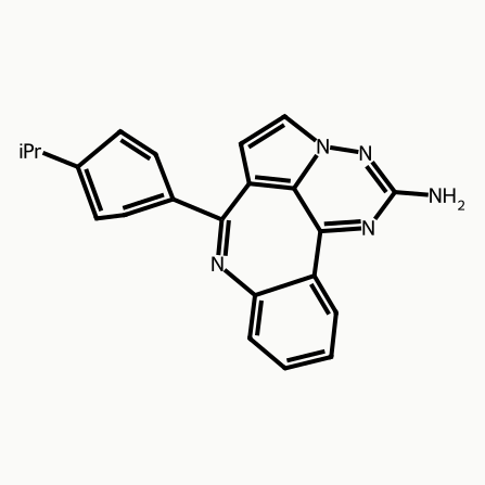 CC(C)c1ccc(C2=Nc3ccccc3-c3nc(N)nn4ccc2c34)cc1